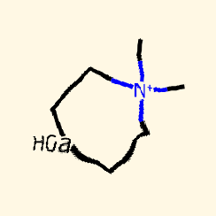 C[N+]1(C)C[CH2][GaH][CH2]C1